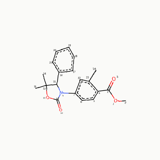 COC(=O)c1ccc(N2C(=O)OC(C)(C)C2c2ccccc2)cc1C